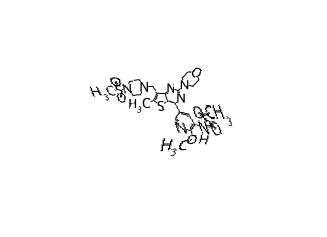 COc1ncc(-c2nc(N3CCOCC3)nc3c(CN4CCN(S(C)(=O)=O)CC4)c(C)sc23)cc1NS(C)(=O)=O